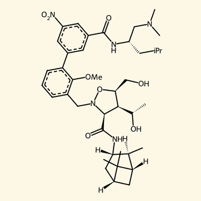 COc1c(CN2O[C@@H](CO)[C@@H]([C@H](C)O)[C@H]2C(=O)N[C@H]2C[C@H]3C[C@@H]([C@@H]2C)C3(C)C)cccc1-c1cc(C(=O)N[C@@H](CC(C)C)CN(C)C)cc([N+](=O)[O-])c1